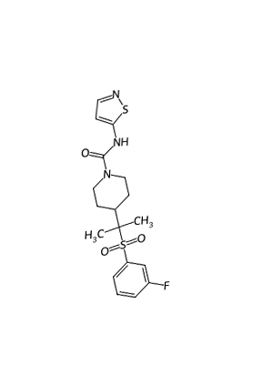 CC(C)(C1CCN(C(=O)Nc2ccns2)CC1)S(=O)(=O)c1cccc(F)c1